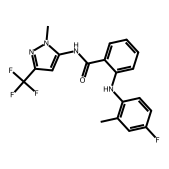 Cc1cc(F)ccc1Nc1ccccc1C(=O)Nc1cc(C(F)(F)F)nn1C